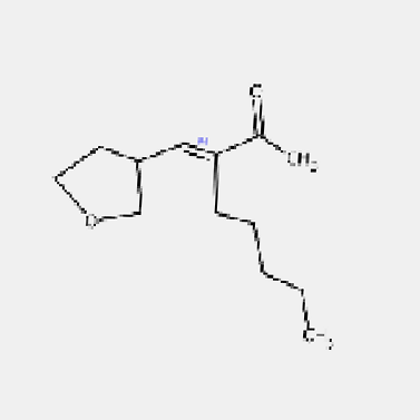 CCCCC/C(=C\C1CCOC1)C(C)=O